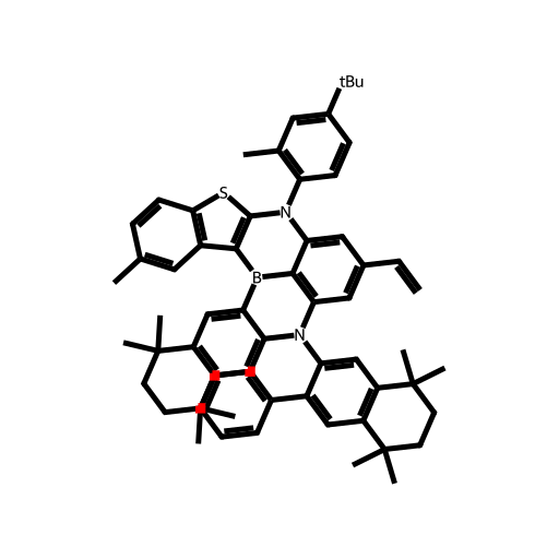 C=Cc1cc2c3c(c1)N(c1ccc(C(C)(C)C)cc1C)c1sc4ccc(C)cc4c1B3c1cc3c(cc1N2c1cc2c(cc1-c1ccccc1)C(C)(C)CCC2(C)C)C(C)(C)CCC3(C)C